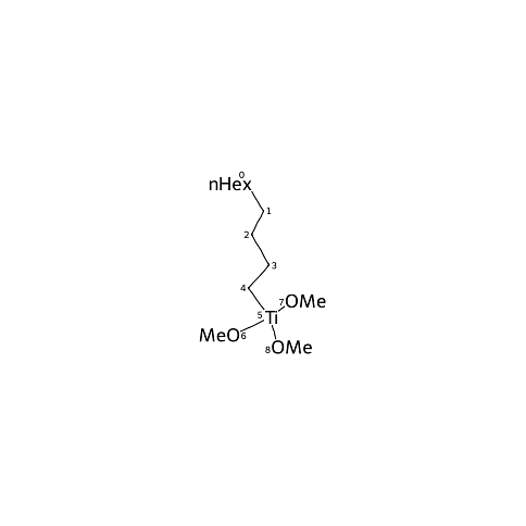 CCCCCCCCC[CH2][Ti]([O]C)([O]C)[O]C